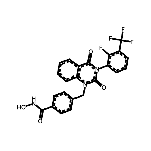 O=C(NO)c1ccc(Cn2c(=O)n(-c3cccc(C(F)(F)F)c3F)c(=O)c3ccccc32)cc1